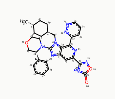 C[C@H]1CC[C@H](Cn2c(N3CCOC[C@H]3c3ccccc3)nc3cc(-c4noc(=O)[nH]4)nc(-c4cccnn4)c32)CC1